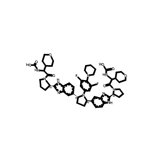 O=C(O)NC(C(=O)N1CCC[C@H]1c1nc2cc([C@H]3CC[C@H](c4ccc5[nH]c([C@@H]6CCCN6C(=O)C(NC(=O)O)C6CCOCC6)nc5c4)N3c3cc(F)c(N4CCCCC4)c(F)c3)ccc2[nH]1)C1CCOCC1